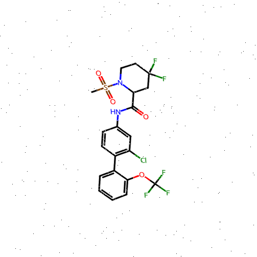 CS(=O)(=O)N1CCC(F)(F)CC1C(=O)Nc1ccc(-c2ccccc2OC(F)(F)F)c(Cl)c1